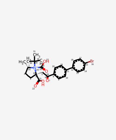 C[C@H]1CC[C@](CC(=O)c2ccc(-c3ccc(Br)cc3)cc2)(C(=O)O)[N+]1(C(=O)O)C(C)(C)C